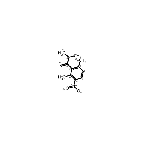 Cc1ccc([N+](=O)[O-])c(C)c1C(=N)C(C)C